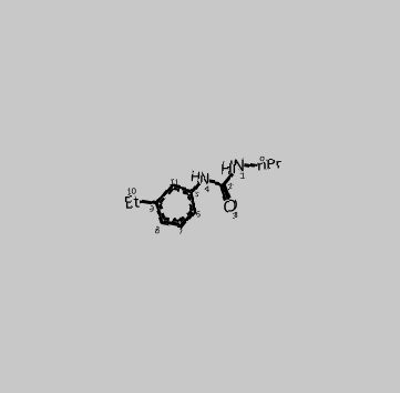 CCCNC(=O)Nc1cccc(CC)c1